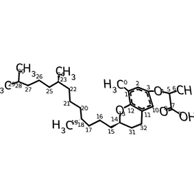 Cc1cc(OC(C)C(=O)O)cc2c1O[C@H](CCC[C@H](C)CCC[C@H](C)CCCC(C)C)CC2